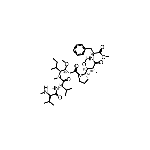 CCC(C)C([C@@H](CC(=O)N1CCC[C@H]1[C@H](OC)[C@@H](C)C(=O)N[C@@H](Cc1ccccc1)C(=O)OC)OC)N(C)C(=O)[C@@H](NC(=O)C(NC)C(C)C)C(C)C